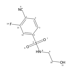 N#Cc1ccc(S(=O)(=O)NCCO)cc1F